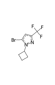 FC(F)(F)c1cc(Br)n(C2CCC2)n1